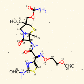 NC(=O)OCC1(C(=O)O)CS[C@@H]2C(NC(=O)C(=NOCCOC=O)c3csc(NC=O)n3)C(=O)N2C1